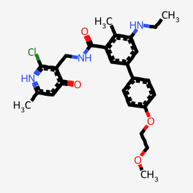 CCNc1cc(-c2ccc(OCCOC)cc2)cc(C(=O)NCc2c(Cl)[nH]c(C)cc2=O)c1C